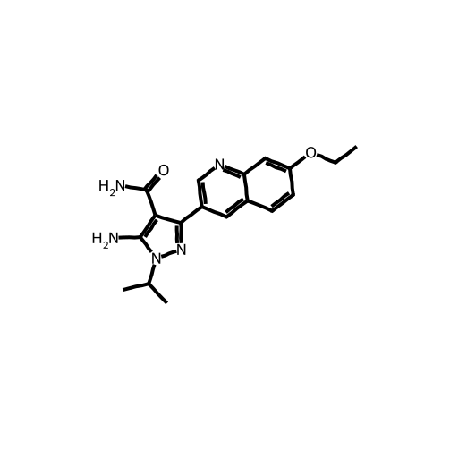 CCOc1ccc2cc(-c3nn(C(C)C)c(N)c3C(N)=O)cnc2c1